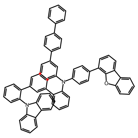 c1ccc(-c2ccc(-c3cccc(N(c4ccc(-c5cccc6c5oc5ccccc56)cc4)c4ccccc4-c4cccc(-c5ccccc5-n5c6ccccc6c6ccccc65)c4)c3)cc2)cc1